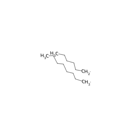 [CH2]CCCCC.[CH2]CCCCCCC